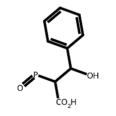 O=PC(C(=O)O)C(O)c1ccccc1